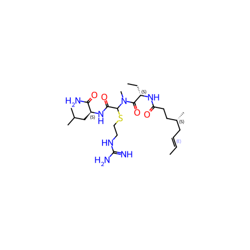 C/C=C/C[C@@H](C)CCC(=O)N[C@@H](CC)C(=O)N(C)C(SCCNC(=N)N)C(=O)N[C@@H](CC(C)C)C(N)=O